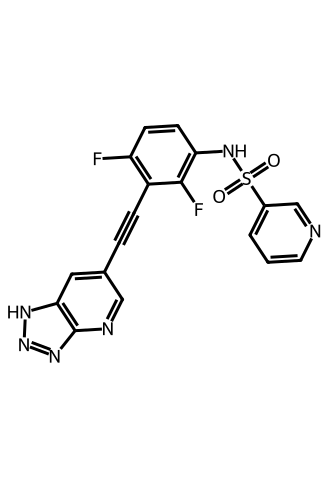 O=S(=O)(Nc1ccc(F)c(C#Cc2cnc3nn[nH]c3c2)c1F)c1cccnc1